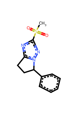 CS(=O)(=O)c1nc2n(n1)C(c1ccccc1)CC2